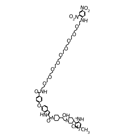 Cc1ccc2c(c1)NC[C@]21CCN(C[C@@H](O)C2CCN(C(=O)c3cc4ccc(Oc5ccc(C(=O)NCCOCCOCCOCCOCCOCCOCCOCCOCCOCCNc6ccc([N+](=O)[O-])cc6[N+](=O)[O-])cc5)cc4[nH]3)CC2)C[C@H]1C